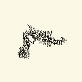 N#[C][Fe-3]([C]#N)([C]#N)([C]#N)([C]#N)[C]#N.N#[C][Fe-3]([C]#N)([C]#N)([C]#N)([C]#N)[C]#N.N#[C][Ir-3]([C]#N)([C]#N)([C]#N)([C]#N)[C]#N.N#[C][Ir-3]([C]#N)([C]#N)([C]#N)([C]#N)[C]#N.[Zn+2].[Zn+2].[Zn+2].[Zn+2].[Zn+2].[Zn+2]